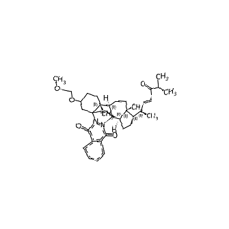 COCOC1CC[C@]2(C)[C@H]3CC[C@]4(C)[C@@H]([C@H](C)C=CC(=O)C(C)C)CC[C@H]4C34C=CC2(C1)n1c(=O)c2ccccc2c(=O)n14